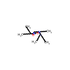 CCCCCCCCC/C=C(\CCCCCCCCC)CCN(CCCCCCCCC)CC(=O)C=C1CCN(C(=O)CC=C(CCCCCCCCC)CCCCCCCCC)CC1